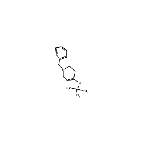 C[Si](C)(C)OC1=CCN(Cc2ccccc2)CC1